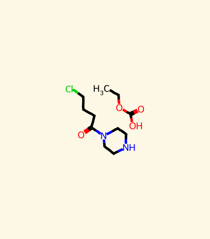 CCOC(=O)O.O=C(CCCCl)N1CCNCC1